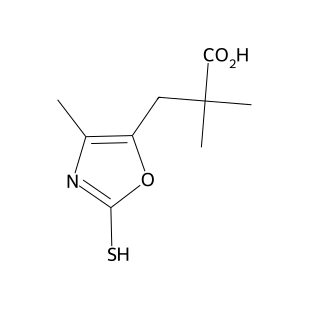 Cc1nc(S)oc1CC(C)(C)C(=O)O